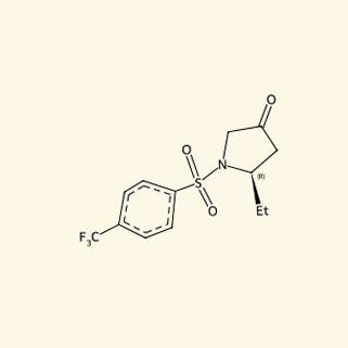 CC[C@@H]1CC(=O)CN1S(=O)(=O)c1ccc(C(F)(F)F)cc1